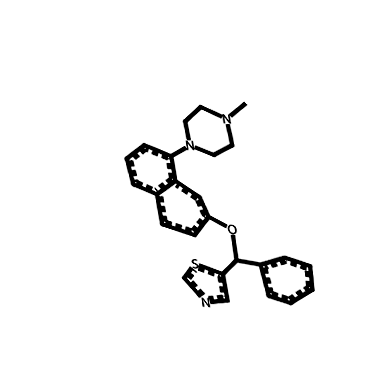 CN1CCN(c2cccc3ccc(OC(c4ccccc4)c4cncs4)cc23)CC1